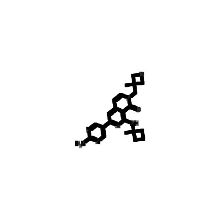 CC1(Cn2ccc3cc(-c4cnc(N)nc4)nc(NC4(C)CCC4)c3c2=O)COC1